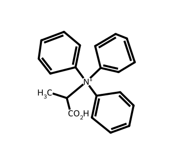 CC(C(=O)O)[N+](c1ccccc1)(c1ccccc1)c1ccccc1